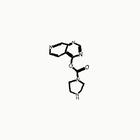 O=C(Oc1ncnc2cnccc12)N1CCNCC1